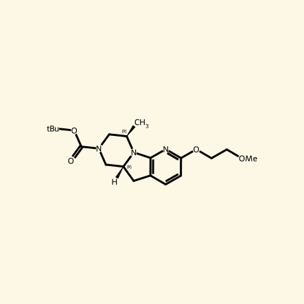 COCCOc1ccc2c(n1)N1[C@H](C2)CN(C(=O)OC(C)(C)C)C[C@H]1C